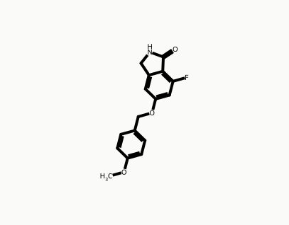 COc1ccc(COc2cc(F)c3c(c2)CNC3=O)cc1